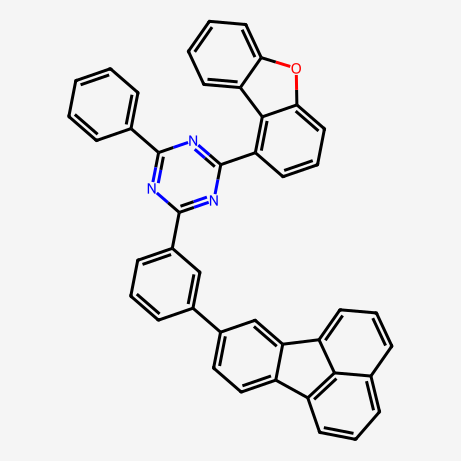 c1ccc(-c2nc(-c3cccc(-c4ccc5c(c4)-c4cccc6cccc-5c46)c3)nc(-c3cccc4oc5ccccc5c34)n2)cc1